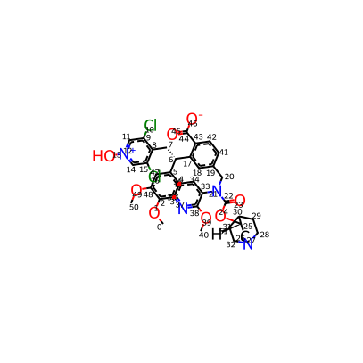 COc1ccc([C@H](Cc2c(Cl)c[n+](O)cc2Cl)c2cc(CN(C(=O)O[C@H]3CN4CCC3CC4)c3cccnc3OC)ccc2C(=O)[O-])cc1OC